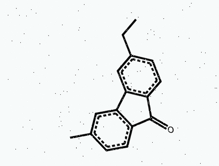 CCc1ccc2c(c1)-c1cc(C)ccc1C2=O